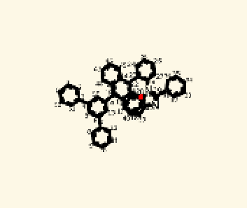 c1ccc(-c2cc(-c3ccccc3)cc(-c3c4ccccc4c(-c4ccccc4-n4c(-c5ccccc5)nc5ccccc54)c4ccccc34)c2)cc1